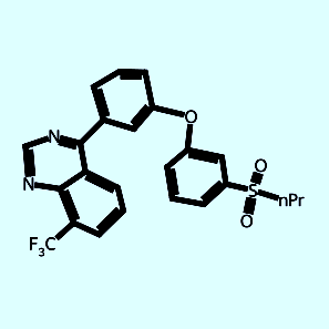 CCCS(=O)(=O)c1cccc(Oc2cccc(-c3ncnc4c(C(F)(F)F)cccc34)c2)c1